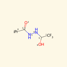 CC(C)C(=O)NNC(O)C(F)(F)F